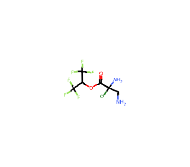 NCC(N)(Cl)C(=O)OC(C(F)(F)F)C(F)(F)F